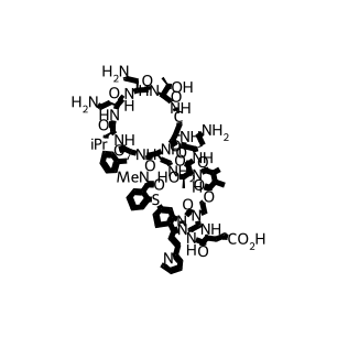 CNC(=O)c1ccccc1Sc1ccc2c(/C=C/c3ccccn3)nn(C(=O)N(CCNC(=O)[C@@H](N)CCC(=O)O)CCOC(=O)C(C)C(C)C(=O)N[C@H](C(=O)N[C@@H](CCN)C(=O)N[C@H]3CCNC(=O)[C@H]([C@@H](C)O)NC(=O)[C@H](CCN)NC(=O)[C@H](CCN)NC(=O)[C@H](CC(C)C)NC(=O)[C@@H](Cc4ccccc4)NC(=O)[C@H](CCN)NC3=O)[C@@H](C)O)c2c1